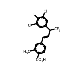 Cc1cc(C=CC(c2cc(Cl)c(F)c(Cl)c2)C(F)(F)F)ccc1C(=O)O